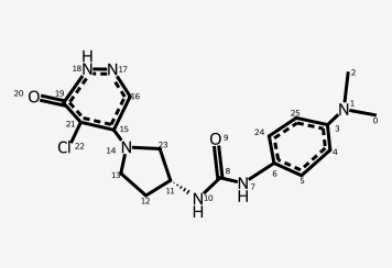 CN(C)c1ccc(NC(=O)N[C@@H]2CCN(c3cn[nH]c(=O)c3Cl)C2)cc1